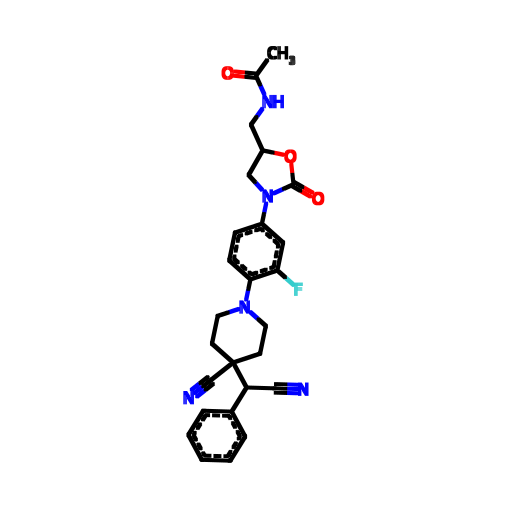 CC(=O)NCC1CN(c2ccc(N3CCC(C#N)(C(C#N)c4ccccc4)CC3)c(F)c2)C(=O)O1